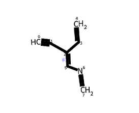 C#C/C(C=C)=C/N=C